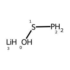 OSP.[LiH]